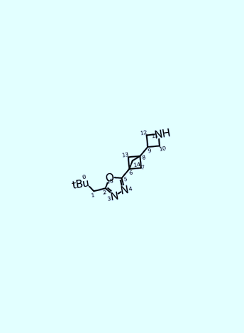 CC(C)(C)Cc1nnc(C23CC(C4CNC4)(C2)C3)o1